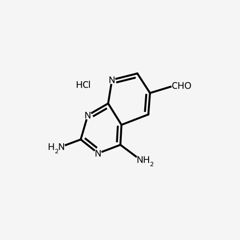 Cl.Nc1nc(N)c2cc(C=O)cnc2n1